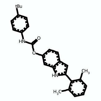 Cc1cccc(C)c1-c1cc2ccc(OC(=O)Nc3ccc(C(C)(C)C)cc3)cc2[nH]1